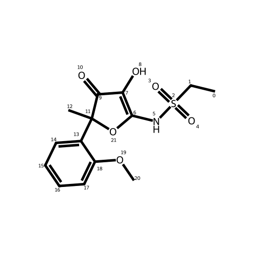 CCS(=O)(=O)NC1=C(O)C(=O)C(C)(c2ccccc2OC)O1